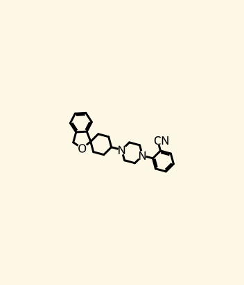 N#Cc1ccccc1N1CCN(C2CCC3(CC2)OCc2ccccc23)CC1